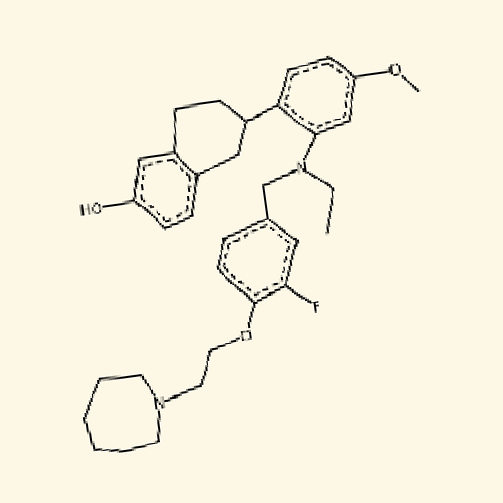 CCN(Cc1ccc(OCCN2CCCCCC2)c(F)c1)c1cc(OC)ccc1C1CCc2cc(O)ccc2C1